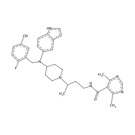 Cc1ncnc(C)c1C(=O)NCCC(C)N1CCC(N(Cc2cc(C#N)ccc2F)c2ccc3[nH]ccc3c2)CC1